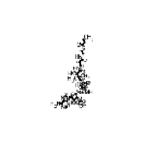 CC=CC(=O)SCCNC(=O)CCNC(=O)[C@H](O)C(C)(C)COP(=O)(O)OP(=O)(O)OC[C@H]1O[C@@H](n2cnc3c(N)ncnc32)[C@H](O)[C@@H]1OP(=O)(O)O